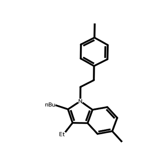 CCCCc1c(CC)c2cc(C)ccc2n1CCc1ccc(C)cc1